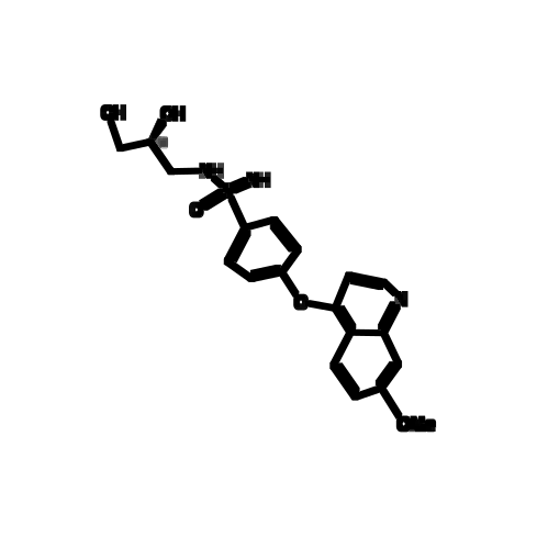 COc1ccc2c(Oc3ccc(S(=N)(=O)NC[C@H](O)CO)cc3)ccnc2c1